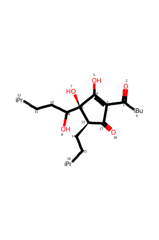 CCC(C)C(=O)C1=C(O)[C@@](O)(C(O)CCC(C)C)[C@H](CCC(C)C)C1=O